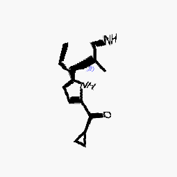 C=C/C(=C(/C)C=N)c1ccc(C(=O)C2CC2)[nH]1